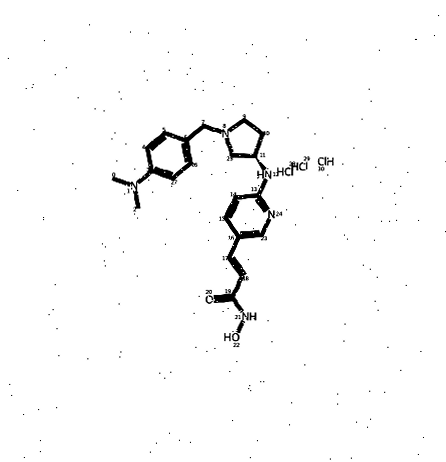 CN(C)c1ccc(CN2CC[C@@H](Nc3ccc(/C=C/C(=O)NO)cn3)C2)cc1.Cl.Cl.Cl